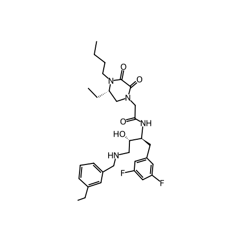 CCCCN1C(=O)C(=O)N(CC(=O)N[C@@H](Cc2cc(F)cc(F)c2)[C@@H](O)CNCc2cccc(CC)c2)C[C@@H]1CC